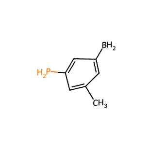 Bc1cc(C)cc(P)c1